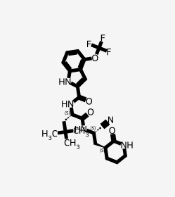 CC(C)(C)C[C@H](NC(=O)c1cc2c(OC(F)(F)F)cccc2[nH]1)C(=O)N[C@H](C#N)C[C@@H]1CCCNC1=O